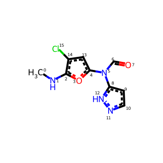 CNc1oc(N(C=O)c2ccn[nH]2)cc1Cl